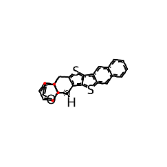 C1=CC2C3c4sc5c(sc6cc7ccccc7cc65)c4[C@H](C2C=C1)C1OC=CC31